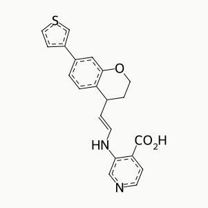 O=C(O)c1ccncc1N/C=C/C1CCOc2cc(-c3ccsc3)ccc21